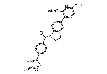 COc1nc(C)ccc1-c1ccc2c(c1)CCN2[S+]([O-])c1ccc(-c2noc(=O)[nH]2)cc1